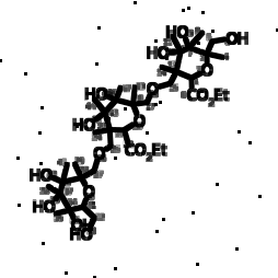 CCOC(=O)C1OC(C)(CO)C(C)(O)C(C)(O)C1(C)COCC1(C)OC(C(=O)OCC)C(C)(COCC2(C)OC(CO)C(C)(O)C(C)(O)C2(C)O)C(C)(O)C1(C)O